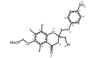 COCOc1c(C)c(C)c2c(c1C)C(=O)CC(COc1ccc([N+](=O)[O-])cc1)(CC(C)C)O2